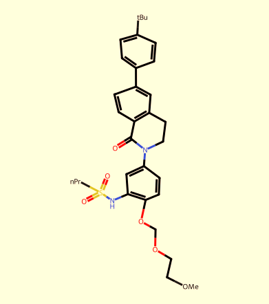 CCCS(=O)(=O)Nc1cc(N2CCc3cc(-c4ccc(C(C)(C)C)cc4)ccc3C2=O)ccc1OCOCCOC